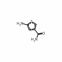 NC(=O)c1[c]sc(N)c1